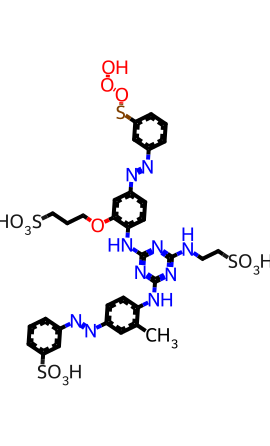 Cc1cc(N=Nc2cccc(S(=O)(=O)O)c2)ccc1Nc1nc(NCCS(=O)(=O)O)nc(Nc2ccc(N=Nc3cccc(SOOO)c3)cc2OCCCS(=O)(=O)O)n1